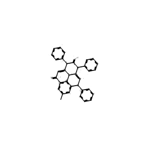 Cc1cc2c3c(c1)C(c1ccccc1)C=C1C(c4ccccc4)C(=O)C(c4ccccc4)C(=CC2=O)C13